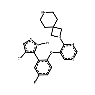 CC(C)n1ncc(Cl)c1-c1cc(F)ccc1Oc1cncnc1N1CC2(CCNCC2)C1